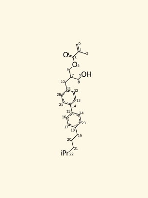 C=C(C)C(=O)OCC(CO)Cc1ccc(-c2ccc(CCCC(C)C)cc2)cc1